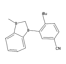 CCC(C)c1ccc(C#N)cc1B1CB(C)c2ccccc21